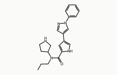 CCCN(C(=O)c1cc(-c2cnn(-c3ccccc3)c2)c[nH]1)C1CCNC1